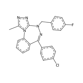 Cc1nnc2n1-c1ccccc1C(c1ccc(Cl)cc1)=NN2Cc1ccc(F)cc1